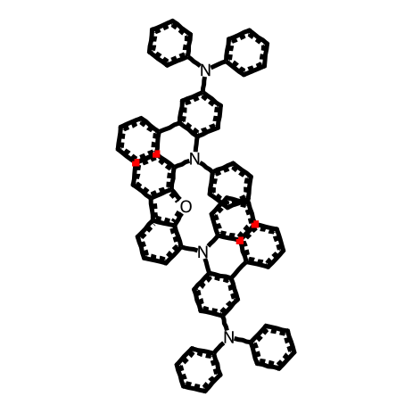 c1ccc(-c2cc(N(c3ccccc3)c3ccccc3)ccc2N(c2ccccc2)c2cccc3c2oc2c(N(c4ccccc4)c4ccc(N(c5ccccc5)c5ccccc5)cc4-c4ccccc4)cccc23)cc1